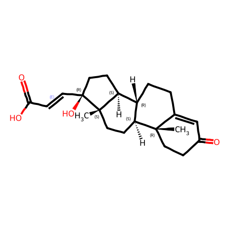 C[C@]12CCC(=O)C=C1CC[C@@H]1[C@@H]2CC[C@@]2(C)[C@H]1CC[C@@]2(O)/C=C/C(=O)O